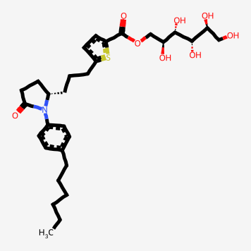 CCCCCCc1ccc(N2C(=O)CC[C@@H]2CCCc2ccc(C(=O)OC[C@H](O)[C@H](O)[C@@H](O)[C@@H](O)CO)s2)cc1